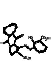 O=C(O)c1cccc(N=Nc2c(S(=O)(=O)O)ccc3c2C(=O)c2ccccc2C3=O)c1O